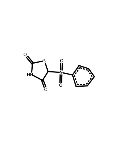 O=C1NC(=O)C(S(=O)(=O)c2ccccc2)S1